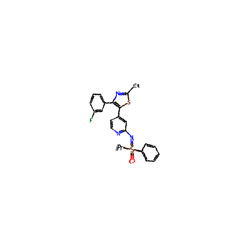 CCc1nc(-c2cccc(F)c2)c(-c2ccnc(N=S(=O)(c3ccccc3)C(C)C)c2)s1